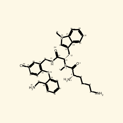 CN(C(=O)[C@@H](N)CCCCN)[C@@H](Cc1cn(C)c2ccccc12)C(=O)NCc1cc(Cl)ccc1Sc1ccccc1CN